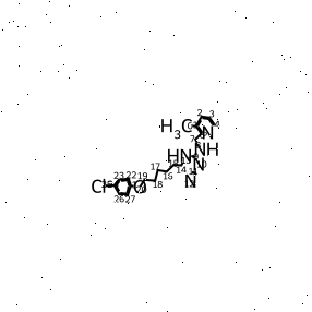 Cc1cccnc1CN/C(=N/C#N)NCCCCCCOc1ccc(Cl)cc1